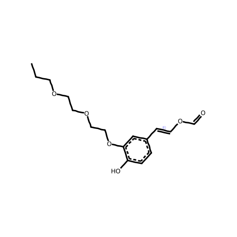 CCCOCCOCCOc1cc(/C=C/OC=O)ccc1O